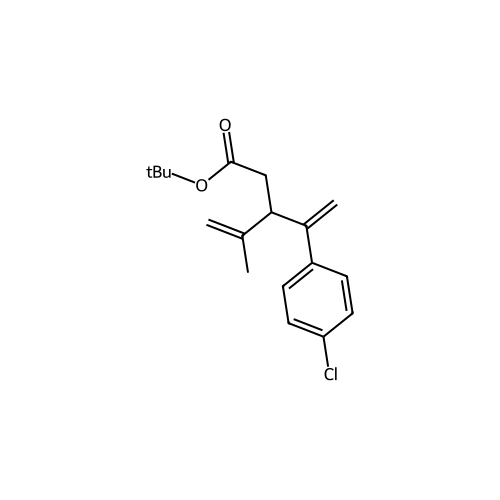 C=C(C)C(CC(=O)OC(C)(C)C)C(=C)c1ccc(Cl)cc1